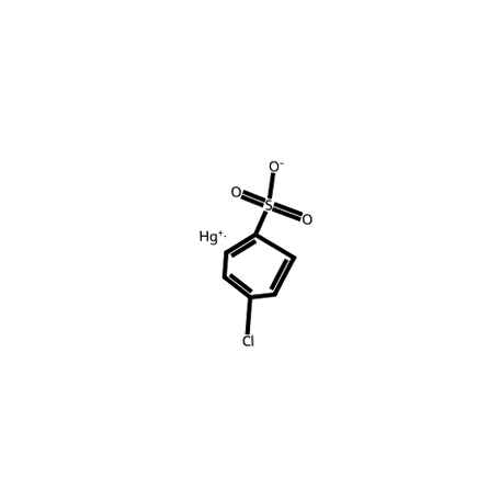 O=S(=O)([O-])c1ccc(Cl)cc1.[Hg+]